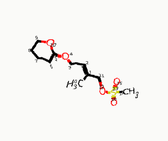 C/C(=C\COC1CCCCO1)COS(C)(=O)=O